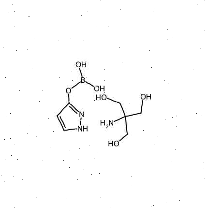 NC(CO)(CO)CO.OB(O)Oc1cc[nH]n1